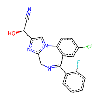 N#C[C@H](O)c1cn2c(n1)CN=C(c1ccccc1F)c1cc(Cl)ccc1-2